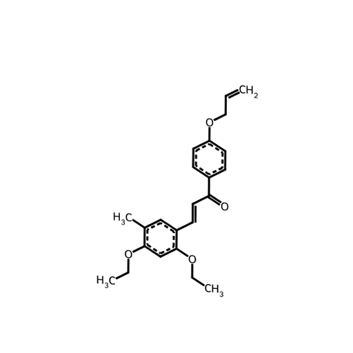 C=CCOc1ccc(C(=O)/C=C/c2cc(C)c(OCC)cc2OCC)cc1